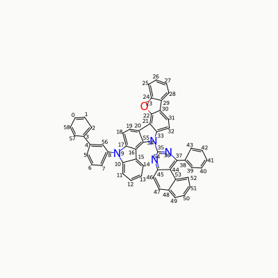 c1ccc(-c2cccc(-n3c4ccccc4c4c3ccc3c5c6oc7ccccc7c6ccc5n(-c5nc(-c6ccccc6)c6c(ccc7ccccc76)n5)c34)c2)cc1